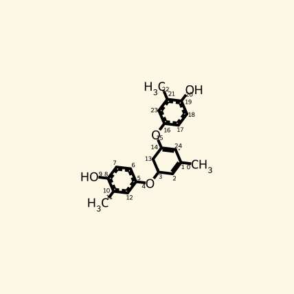 CC1=C[C](Oc2ccc(O)c(C)c2)CC(Oc2ccc(O)c(C)c2)=[C]1